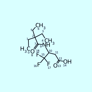 CCC(CC)(CC)C(=O)NC(CC(=O)O)C(F)(F)F